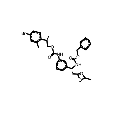 Cc1cc(Br)ccc1[C@@H](C)COC(=O)Nc1cccc([C@@H](CC2OC(C)O2)NC(=O)OCc2ccccc2)c1